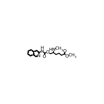 CNC(CCCC(=O)OC)COC(=O)Nc1cc2ccccc2cn1